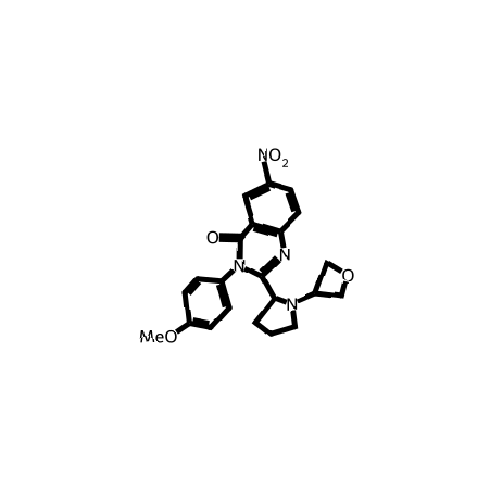 COc1ccc(-n2c(C3CCCN3C3COC3)nc3ccc([N+](=O)[O-])cc3c2=O)cc1